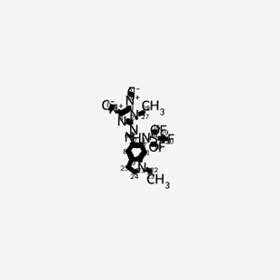 [C-]#[N+]c1nc(/N=N/c2cc3c(cc2NS(=O)(=O)C(F)(F)F)N(CC)CC3)n(CC)c1[N+]#[C-]